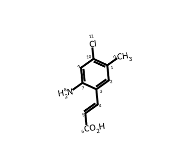 Cc1cc(C=CC(=O)O)c(N)cc1Cl